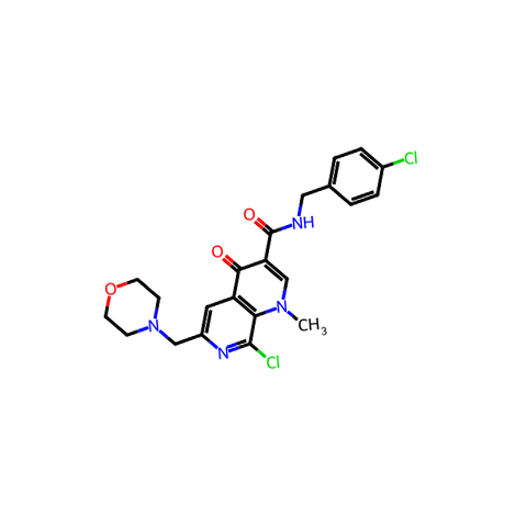 Cn1cc(C(=O)NCc2ccc(Cl)cc2)c(=O)c2cc(CN3CCOCC3)nc(Cl)c21